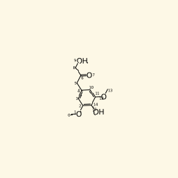 COc1cc(CC(=O)CO)cc(OC)c1O